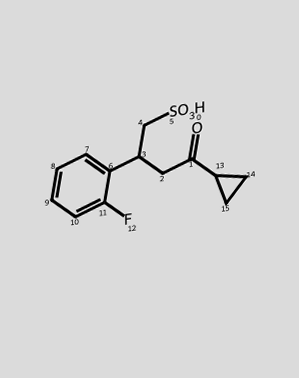 O=C(CC(CS(=O)(=O)O)c1ccccc1F)C1CC1